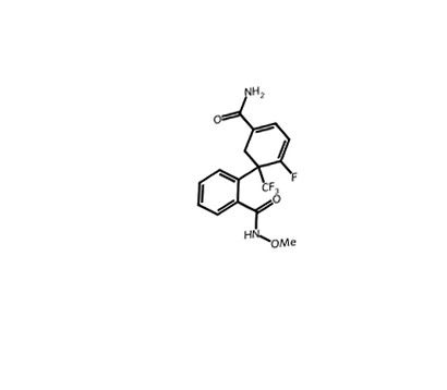 CONC(=O)c1ccccc1C1(C(F)(F)F)CC(C(N)=O)=CC=C1F